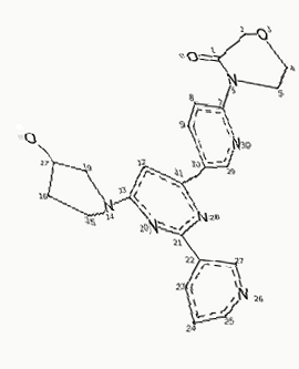 O=C1COCCN1c1ccc(-c2cc(N3CCC(O)C3)nc(-c3cccnc3)n2)cn1